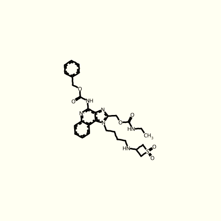 CCNC(=O)OCc1nc2c(NC(=O)OCc3ccccc3)nc3ccccc3c2n1CCCCNC1CS(=O)(=O)C1